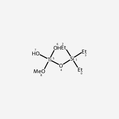 CC[Si](CC)(CC)[O][Ti]([OH])([OH])[O]C